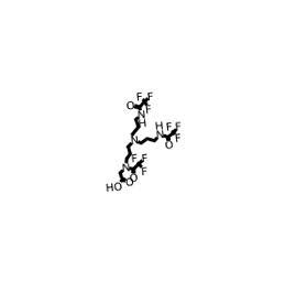 O=C(O)CN(CCCN(CCCNC(=O)C(F)(F)F)CCCNC(=O)C(F)(F)F)C(=O)C(F)(F)F